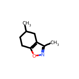 Cc1noc2c1CC(C)CC2